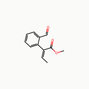 CC=C(C(=O)OC)c1ccccc1C=O